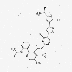 CC1CN=C(c2ccccc2PC(F)P)C(COc2ccc(C3CC(c4cc(C(=O)P)nn4C(C)C)=NO3)c(Cl)c2)=C1C1CC1